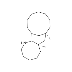 C[C@@]12CCCCCCCC(C1)C1NCCCCC[C@]1(C)C2